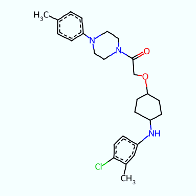 Cc1ccc(N2CCN(C(=O)COC3CCC(Nc4ccc(Cl)c(C)c4)CC3)CC2)cc1